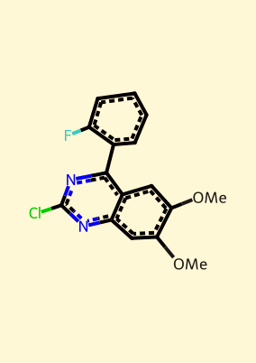 COc1cc2nc(Cl)nc(-c3ccccc3F)c2cc1OC